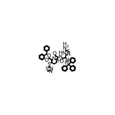 Nc1nc(/C(=N/OC(c2ccccc2)(c2ccccc2)c2ccccc2)C(=O)N[C@@H]2C(=O)N3C(C(=O)OC(c4ccccc4)c4ccccc4)=C(Sc4nncs4)CC[C@H]23)ns1